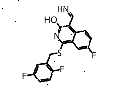 N=Cc1c(O)nc(SCc2cc(F)ccc2F)c2cc(F)ccc12